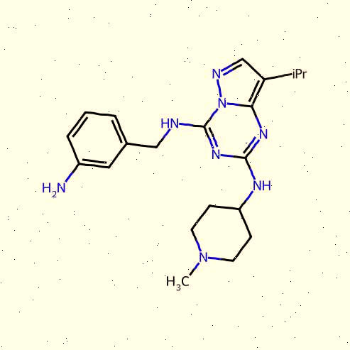 CC(C)c1cnn2c(NCc3cccc(N)c3)nc(NC3CCN(C)CC3)nc12